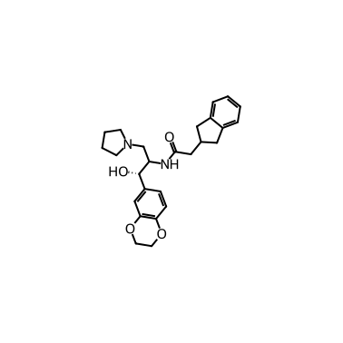 O=C(CC1Cc2ccccc2C1)NC(CN1CCCC1)[C@@H](O)c1ccc2c(c1)OCCO2